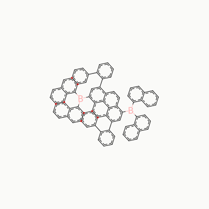 c1ccc(-c2ccccc2-c2cc(B(c3cccc4ccccc34)c3cccc4ccccc34)c3ccc4c(-c5ccccc5-c5ccccc5)cc(B(c5cccc6ccccc56)c5cccc6ccccc56)c5ccc2c3c54)cc1